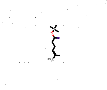 CC(=CCCC(I)O[Si](C)(C)C)C(=O)O